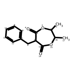 CC1OC(=O)C(Cc2ccccc2)C(=O)OC1C